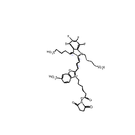 O=C(CCCCC[n+]1c(/C=C/C=c2\c(=C\CCCS(=O)(=O)O)c3c(F)c(F)c(F)c(F)c3n2CCCCS(=O)(=O)O)oc2cc(S(=O)(=O)O)ccc21)ON1C(=O)CCC1=O